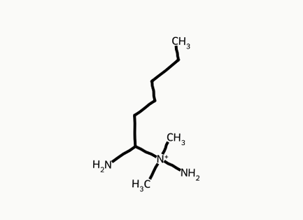 CCCCCC(N)[N+](C)(C)N